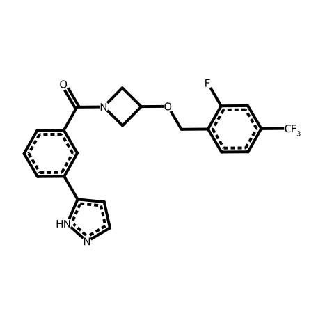 O=C(c1cccc(-c2ccn[nH]2)c1)N1CC(OCc2ccc(C(F)(F)F)cc2F)C1